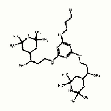 COC(CCNc1nc(NCCCO)nc(NCCC(OC)C2CC(C)(C)NC(C)(C)C2)n1)C1CC(C)(C)NC(C)(C)C1